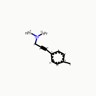 CCCN(CC#Cc1ccc(C)cc1)CCC